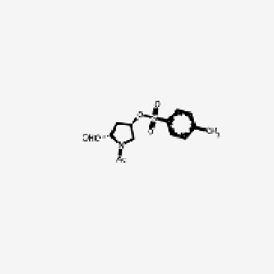 CC(=O)N1C[C@H](OS(=O)(=O)c2ccc(C)cc2)C[C@H]1C=O